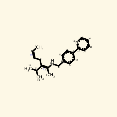 C/C=C\C/C(=C(/C)NCc1ccc(-c2ccccn2)cc1)C(C)C